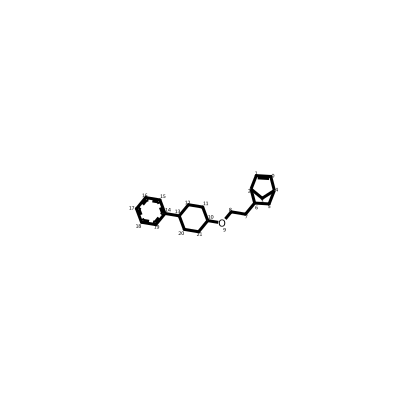 C1=CC2CC1CC2CCOC1CCC(c2ccccc2)CC1